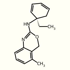 CC[C@]1(NC2=Nc3cccc(C)c3CO2)C=CC=CC1